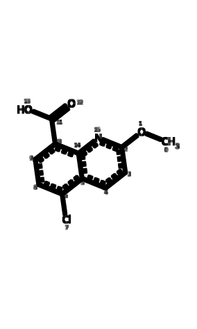 COc1ccc2c(Cl)ccc(C(=O)O)c2n1